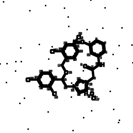 COc1cccc(NC(=O)Cn2cc[n+](CC(OCc3ccc(Cl)cc3Cl)c3ccc(Cl)cc3Cl)c2)c1.O.[Cl-]